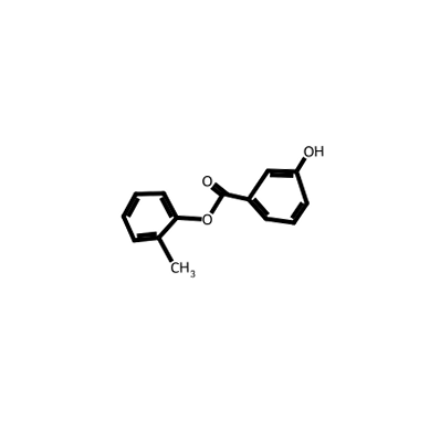 Cc1ccccc1OC(=O)c1cccc(O)c1